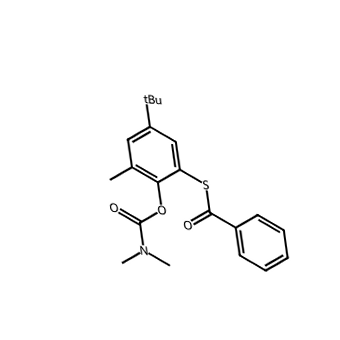 Cc1cc(C(C)(C)C)cc(SC(=O)c2ccccc2)c1OC(=O)N(C)C